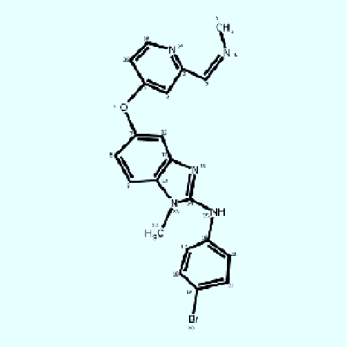 C/N=C\c1cc(Oc2ccc3c(c2)nc(Nc2ccc(Br)cc2)n3C)ccn1